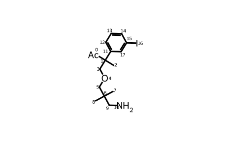 CC(=O)C(C)(COCC(C)(C)CN)c1cccc(I)c1